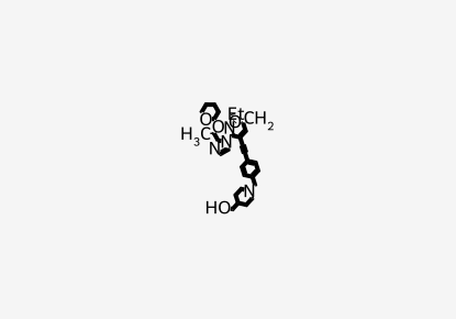 C=C/C=C(C#Cc1ccc(CN2CCC(CO)CC2)cc1)\C(=N/OCC)n1ccnc1[C@H](C)OC1CCCCO1